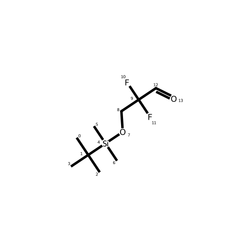 CC(C)(C)[Si](C)(C)OCC(F)(F)C=O